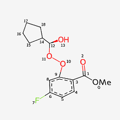 COC(=O)c1ccc(F)cc1OO[C@H](O)C1CCCC1